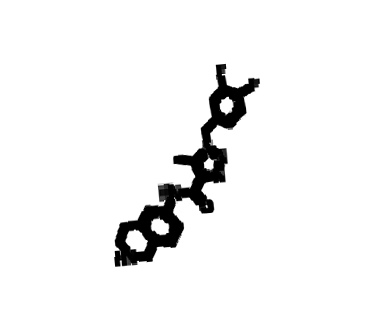 Cc1c(C(=O)Nc2ccc3c(c2)CCNC3)nnn1Cc1ccc(F)c(F)c1